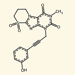 Cn1c(=O)c2c(nc3n2CCCS3(=O)=O)n(CC#Cc2cccc(O)c2)c1=O